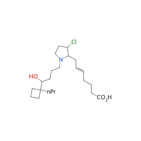 CCCC1(C(O)CCCN2CCC(Cl)C2C/C=C/CCCC(=O)O)CCC1